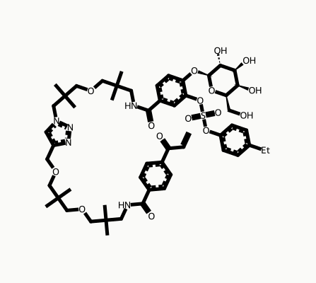 C=CC(=O)c1ccc(C(=O)NCC(C)(C)COCC(C)(C)COCc2cn(CC(C)(C)COCC(C)(C)CNC(=O)c3ccc(O[C@@H]4O[C@H](CO)[C@H](O)[C@H](O)[C@H]4O)c(OS(=O)(=O)Oc4ccc(CC)cc4)c3)nn2)cc1